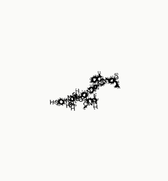 CCOc1nc2[nH]cc(F)c2cc1Oc1cc(N2CCC3(CC2)CC(N2CCN(Cc4ccc(CC5CC5)c(OC)c4)C[C@H]2c2ccccc2C(C)C)C3)ccc1C(=O)NS(=O)(=O)c1cnc(NC[C@H]2CC[C@](C)(O)CC2)c([NH+](C)[O-])c1